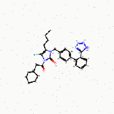 CCCCc1c(F)n(C(=O)CC2CCCCC2)c(=O)n1Cc1ccc(-c2ccccc2-c2nnn[nH]2)cc1